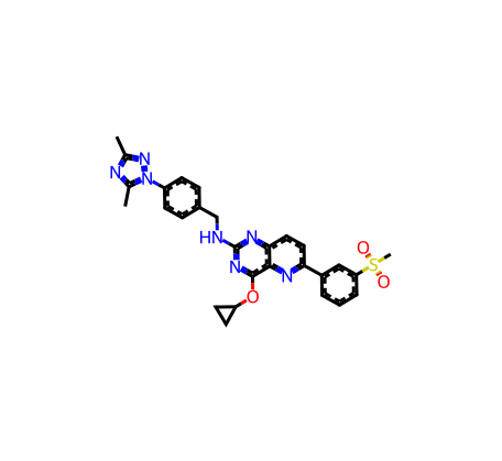 Cc1nc(C)n(-c2ccc(CNc3nc(OC4CC4)c4nc(-c5cccc(S(C)(=O)=O)c5)ccc4n3)cc2)n1